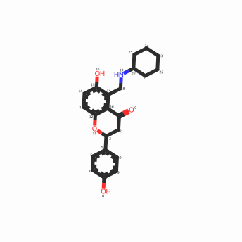 O=C1CC(c2ccc(O)cc2)Oc2ccc(O)c(CNC3CCCCC3)c21